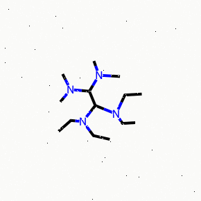 CCN(CC)C(C(N(C)C)N(C)C)N(CC)CC